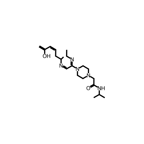 C=C(O)/C=C\CC(C)/N=C\C(=N/CC)N1CCN(CC(=O)NC(C)C)CC1